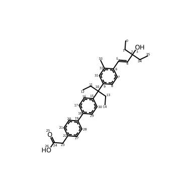 CCC(O)(C=Cc1ccc(C(CC)(CC)c2ccc(-c3ccc(CC(=O)O)cc3)cc2)cc1C)CC